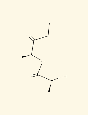 CCC(=O)[C@H](C)OC(=O)[C@H](C)O